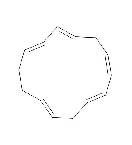 [CH]1/C=C/C=C/C/C=C\C=C\C/C=C/C1